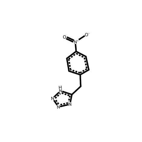 O=[N+]([O-])c1ccc(Cc2nnn[nH]2)cc1